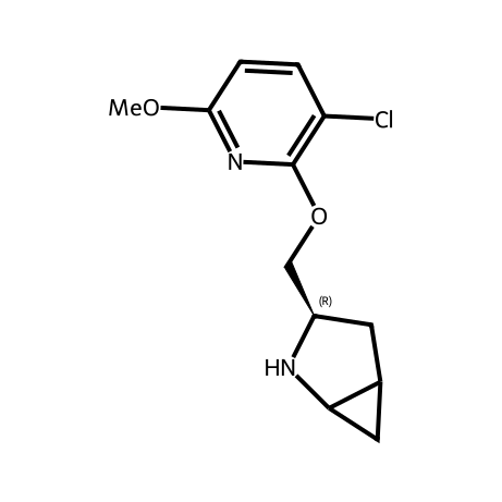 COc1ccc(Cl)c(OC[C@H]2CC3CC3N2)n1